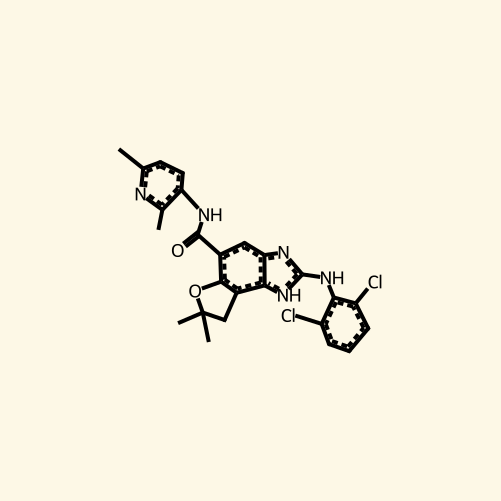 Cc1ccc(NC(=O)c2cc3nc(Nc4c(Cl)cccc4Cl)[nH]c3c3c2OC(C)(C)C3)c(C)n1